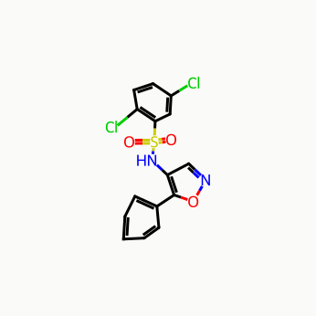 O=S(=O)(Nc1cnoc1-c1ccccc1)c1cc(Cl)ccc1Cl